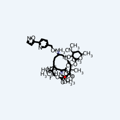 CC(=O)/N=C1\[C@H](C)C[C@@]2(C)OC/C(=N/OCc3ccc(-c4ccno4)nc3)CC[C@H]([C@H]1C)[C@](C)(O)[C@@H](I)OC(=O)[C@H](C)C(=O)[C@H](C)[C@H]2O[C@@H]1O[C@H](C)C[C@H](N(C)C)[C@H]1O